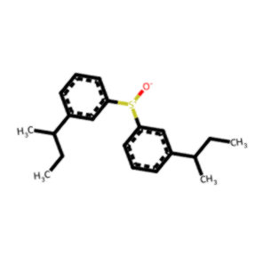 CCC(C)c1cccc([S+]([O-])c2cccc(C(C)CC)c2)c1